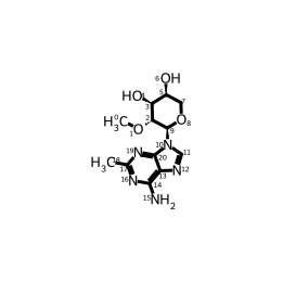 CO[C@@H]1[C@@H](O)[C@@H](O)CO[C@H]1n1cnc2c(N)nc(C)nc21